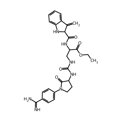 C=C1c2ccccc2NC1C(=O)NC(CNC(=O)NC1CCN(c2ccc(C(=N)N)cc2)C1=O)C(=O)OCC